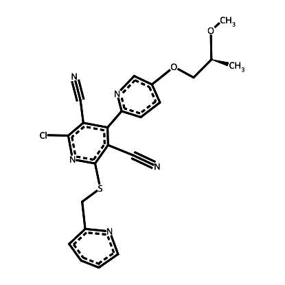 CO[C@@H](C)COc1ccc(-c2c(C#N)c(Cl)nc(SCc3ccccn3)c2C#N)nc1